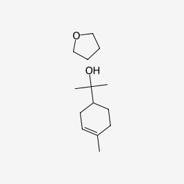 C1CCOC1.CC1=CCC(C(C)(C)O)CC1